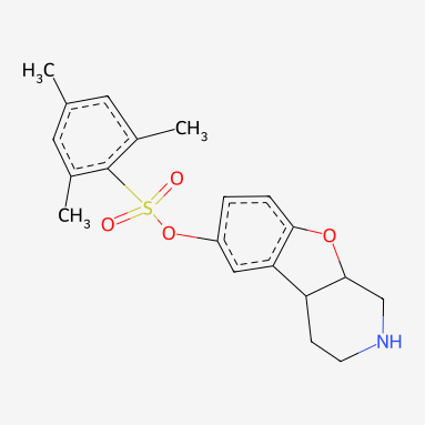 Cc1cc(C)c(S(=O)(=O)Oc2ccc3c(c2)C2CCNCC2O3)c(C)c1